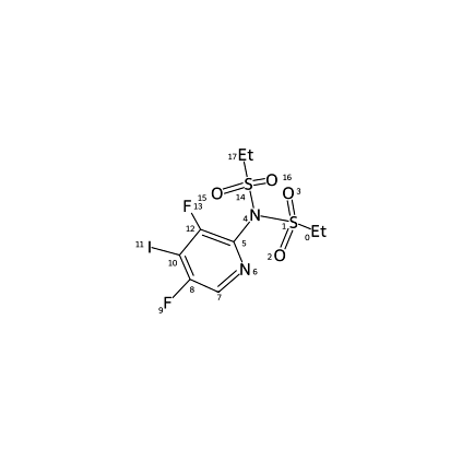 CCS(=O)(=O)N(c1ncc(F)c(I)c1F)S(=O)(=O)CC